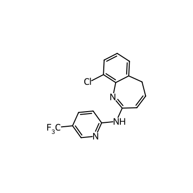 FC(F)(F)c1ccc(NC2=Nc3c(Cl)cccc3CC=C2)nc1